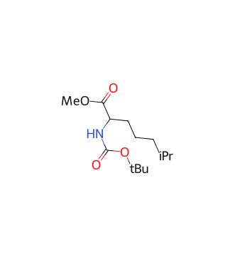 COC(=O)C(CCCC(C)C)NC(=O)OC(C)(C)C